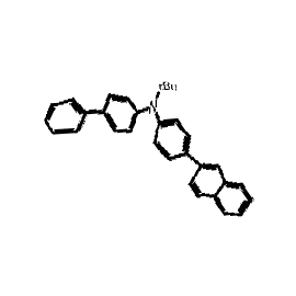 CC(C)(C)N(c1ccc(-c2ccccc2)cc1)c1ccc(-c2ccc3ccccc3c2)cc1